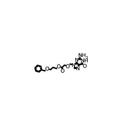 Nc1nc2c(ncn2COCC(=O)OCCCOCc2ccccc2)c(=O)[nH]1